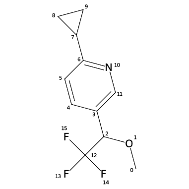 COC(c1ccc(C2CC2)nc1)C(F)(F)F